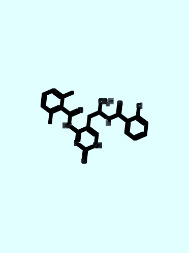 Cc1cccc(C)c1C(=O)Nc1nc(=O)[nH]cc1CC(NC(=O)c1ccccc1Cl)C(=O)O